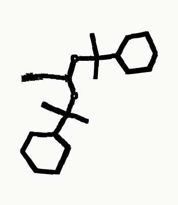 CCCCCCCCCN(OC(C)(C)C1CCCCC1)OC(C)(C)C1CCCCC1